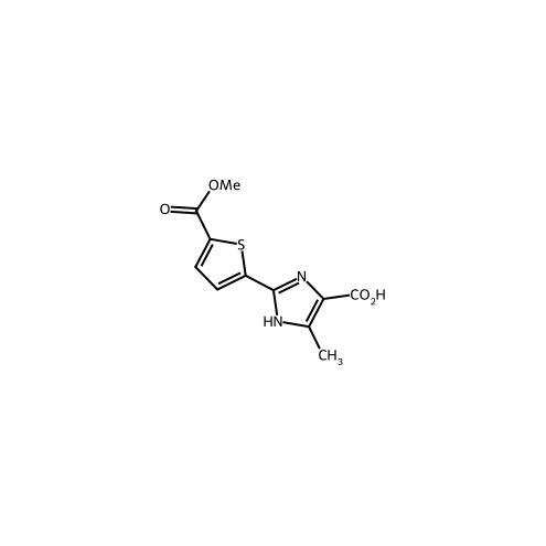 COC(=O)c1ccc(-c2nc(C(=O)O)c(C)[nH]2)s1